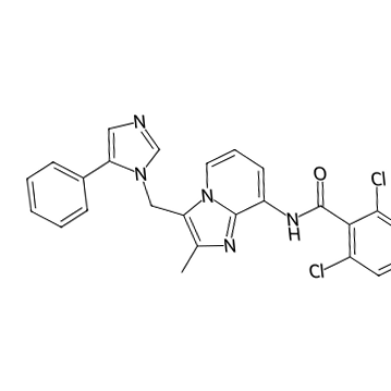 Cc1nc2c(NC(=O)c3c(Cl)cccc3Cl)cccn2c1Cn1cncc1-c1ccccc1